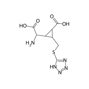 NC(C(=O)O)C1C(CSc2nnn[nH]2)C1C(=O)O